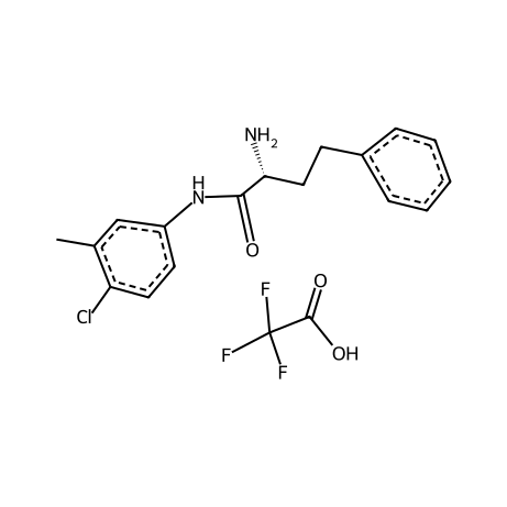 Cc1cc(NC(=O)[C@H](N)CCc2ccccc2)ccc1Cl.O=C(O)C(F)(F)F